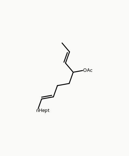 CC=CC(CCC=CCCCCCCC)OC(C)=O